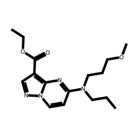 CCCN(CCCOC)c1ccn2ncc(C(=O)OCC)c2n1